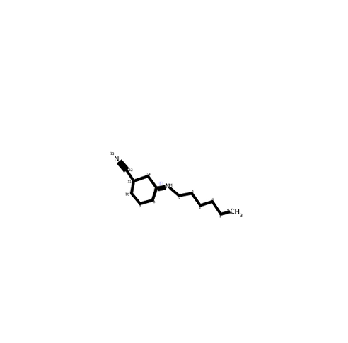 CCCCCC/N=C1\CCCC(C#N)C1